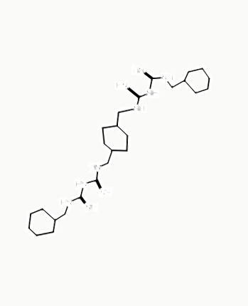 N=C(NCC1CCCCC1)NC(=N)NCC1CCC(CNC(=N)NC(=N)NCC2CCCCC2)CC1